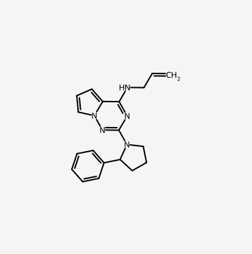 C=CCNc1nc(N2CCCC2c2ccccc2)nn2cccc12